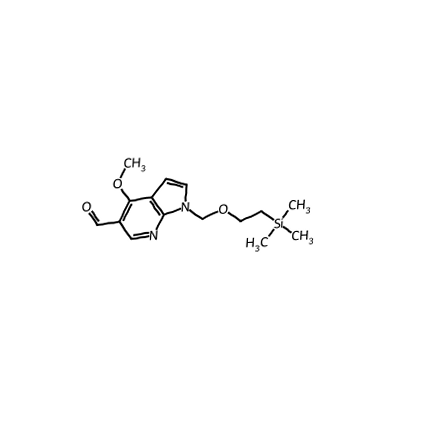 COc1c(C=O)cnc2c1ccn2COCC[Si](C)(C)C